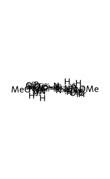 COC(=O)NC(C(=O)N1CCCC1c1ncc(CCc2cnc(C#Cc3ccc4nc(C5CCCN5C(=O)C(NC(=O)OC)C(C)C)[nH]c4c3)cn2)[nH]1)C(C)C